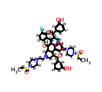 CC[S+]([O-])N1CCN(CCN2CC(C(=O)c3cccc(O)c3)C(c3cccc(F)c3C)C(C(=O)C3CN(CCN4CCN([S+]([O-])CC)CC4)CC(C(=O)c4cccc(O)c4)C3c3cccc(F)c3C)C2)CC1